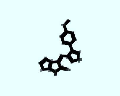 COc1ccc(-c2n[nH]cc2C=C2C(=O)Nc3sccc32)cc1